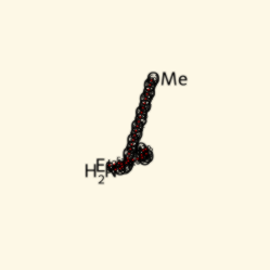 CCc1cc2c(C)c(CC(=O)N(CCCCCC(=O)ON3C(=O)CCC3=O)CCOCCOCCOCCOCCOCCOCCOCCOCCOCCOCCOCCOC)c(=O)oc2cc1N